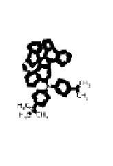 CC(C)c1ccc(N(c2ccc([Si](C)(C)C)cc2)c2cc3c(c4ccccc24)C2(c4ccccc4-c4ccccc42)c2c-3c3ccccc3c3ccccc23)cc1